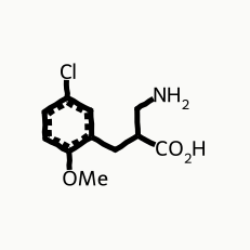 COc1ccc(Cl)cc1CC(CN)C(=O)O